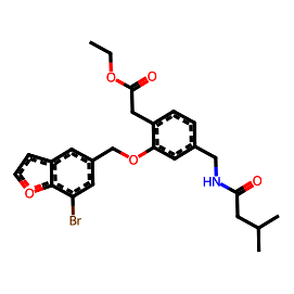 CCOC(=O)Cc1ccc(CNC(=O)CC(C)C)cc1OCc1cc(Br)c2occc2c1